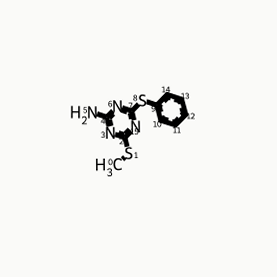 CSc1nc(N)nc(Sc2ccccc2)n1